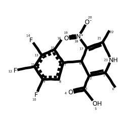 CC1=C(C(=O)O)C(c2cc(F)c(F)c(F)c2C)C([N+](=O)[O-])=C(C)N1